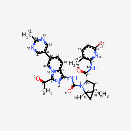 CC(=O)c1nc(NC(=O)N2[C@H](C(=O)Nc3nc(Br)ccc3C)C[C@@]3(C)C[C@@H]23)c2ccc(-c3cnc(C)nc3)cn12